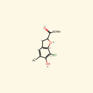 COC(=O)C1Cc2cc(C(C)=O)c(O)c(Cl)c2O1